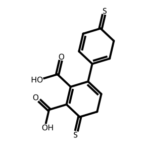 O=C(O)C1=C(C(=O)O)C(C2=CCC(=S)C=C2)=CCC1=S